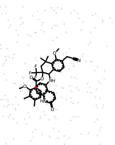 COc1c(C(=O)OC2(C(F)(F)F)CC(C)(C)c3c(ccc(CC#N)c3OC)C2Nc2cccc3[nH]c(=O)ccc23)ccc(C)c1C